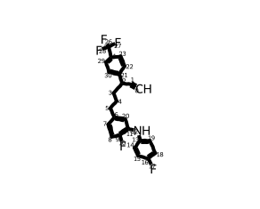 C#CC(CCCc1ccc(F)c(Nc2ccc(F)cc2)c1)c1ccc(C(F)(F)F)cc1